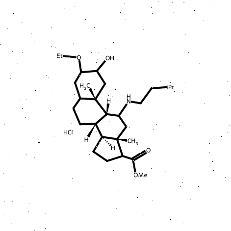 CCOC1CC2CC[C@@H]3[C@@H](C(NCCC(C)C)C[C@]4(C)C(C(=O)OC)CC[C@@H]34)[C@@]2(C)CC1O.Cl